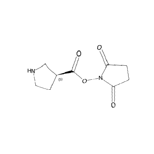 O=C(ON1C(=O)CCC1=O)[C@H]1CCNC1